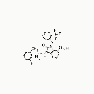 COc1cccc2c1n(Cc1cnccc1C(F)(F)F)c(=O)n2[C@@H]1CCN(c2c(C)cccc2F)C1